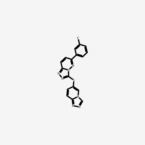 Fc1cccc(-c2ccc3nnc(Sc4ccc5nncn5c4)n3n2)c1